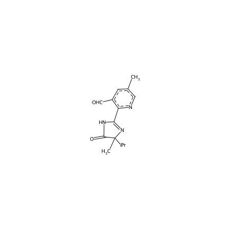 Cc1cnc(C2=NC(C)(C(C)C)C(=O)N2)c([C]=O)c1